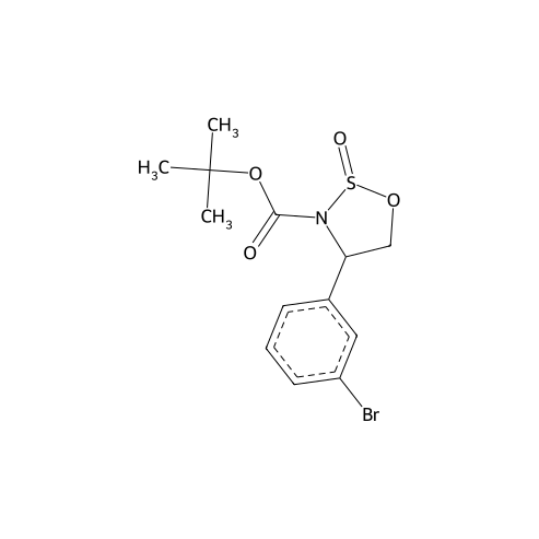 CC(C)(C)OC(=O)N1C(c2cccc(Br)c2)COS1=O